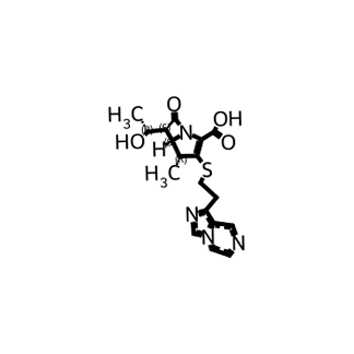 C[C@@H](O)[C@H]1C(=O)N2C(C(=O)O)=C(SCCc3ncn4ccncc34)[C@H](C)[C@H]12